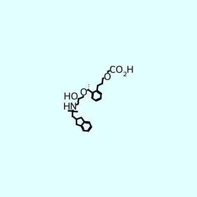 C[C@@H](OC[C@H](O)CNC(C)(C)CC1Cc2ccccc2C1)c1ccccc1CCCOCC(=O)O